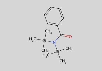 C[Si](C)(C)N(C(=O)c1ccccc1)[Si](C)(C)C